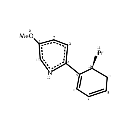 COc1ccc(C2=CC=CC[C@@H]2C(C)C)nc1